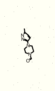 Cc1ccc(N2CCN(C=O)CC2)nn1